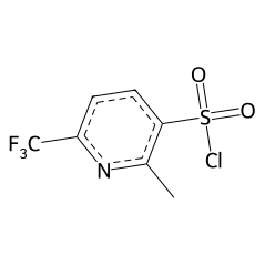 Cc1nc(C(F)(F)F)ccc1S(=O)(=O)Cl